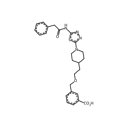 O=C(Cc1ccccc1)Nc1nnc(N2CCC(CCOCc3cccc(C(=O)O)c3)CC2)s1